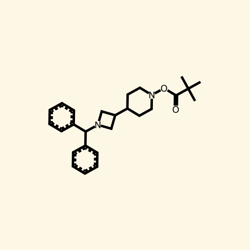 CC(C)(C)C(=O)ON1CCC(C2CN(C(c3ccccc3)c3ccccc3)C2)CC1